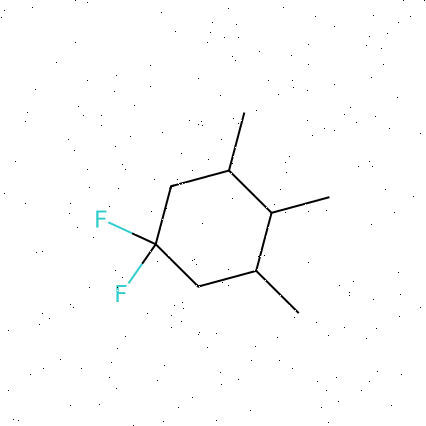 CC1CC(F)(F)CC(C)C1C